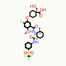 COc1cc(F)c(O[C@H]2CC[C@@](CO)(C(=O)O)CC2)cc1C(=O)N[C@H]1[C@@H](C(=O)Nc2cccc(S(=O)(=O)C(F)(F)F)c2)CCC[C@@H]1C